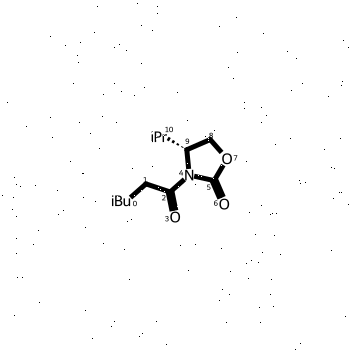 CCC(C)CC(=O)N1C(=O)OC[C@H]1C(C)C